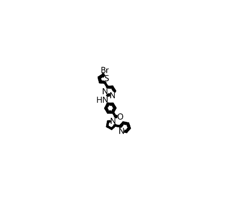 O=C(c1ccc(Nc2nccc(-c3ccc(Br)s3)n2)cc1)N1CCCC1c1ccccn1